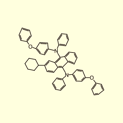 c1ccc(Oc2ccc(N(c3ccccc3)c3c4ccccc4c(N(c4ccccc4)c4ccc(Oc5ccccc5)cc4)c4cc(C5CCCCC5)ccc34)cc2)cc1